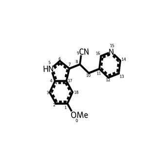 COc1ccc2[nH]cc(C(C#N)Cc3cccnc3)c2c1